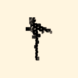 O=C(NCCOCCOCCCCCCCl)c1ccc(C(=O)O)c(-c2c3cc(F)/c(=N\CC(F)(F)F)cc-3oc3cc(NCC(F)(F)F)c(F)cc23)c1